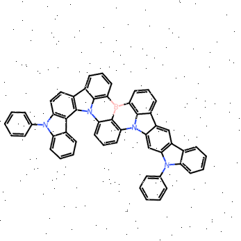 c1ccc(-n2c3ccccc3c3cc4c5cccc6c5n(c4cc32)-c2cccc3c2B6c2cccc4c5ccc6c(c7ccccc7n6-c6ccccc6)c5n-3c24)cc1